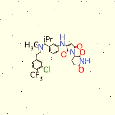 CC(C)C(c1cccc(NC2=CC(=O)N(C3CCC(=O)NC3=O)C2=O)c1)N(C)CCc1ccc(C(F)(F)F)c(Cl)c1